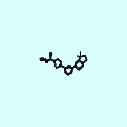 CC(C)(C)OC(=O)N1CCN(c2cccc(-c3ccc4c(c3)C(C)(C)CC4)n2)CC1